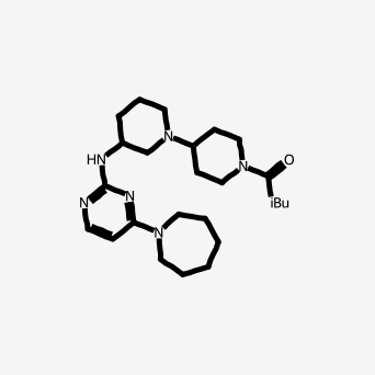 CCC(C)C(=O)N1CCC(N2CCCC(Nc3nccc(N4CCCCCC4)n3)C2)CC1